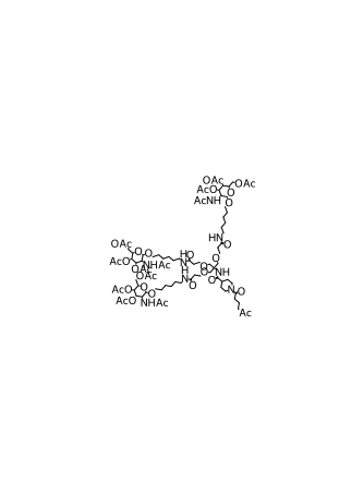 CC(=O)CCCC(=O)N1CCC(C(=O)NC(COCCC(=O)NCCCCCCOC2OC(COC(C)=O)C(OC(C)=O)C(OC(C)=O)C2NC(C)=O)(COCCC(=O)NCCCCCCOC2OC(COC(C)=O)C(OC(C)=O)C(OC(C)=O)C2NC(C)=O)COCCC(=O)NCCCCCCOC2OC(COC(C)=O)C(OC(C)=O)C(OC(C)=O)C2NC(C)=O)CC1